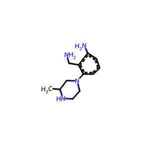 CC1CN(c2cccc(N)c2CN)CCN1